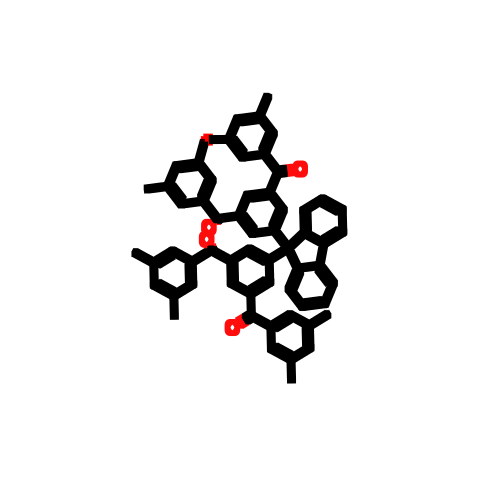 Cc1cc(C)cc(C(=O)c2cc(C(=O)c3cc(C)cc(C)c3)cc(C3(c4cc(C(=O)c5cc(C)cc(C)c5)cc(C(=O)c5cc(C)cc(C)c5)c4)c4ccccc4-c4ccccc43)c2)c1